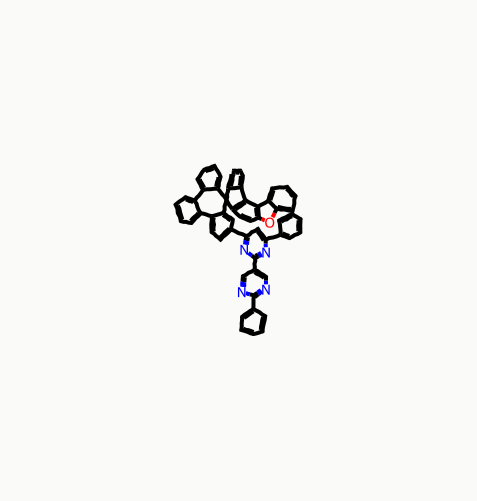 c1ccc(-c2cc(-c3ccc4c(c3)C3(c5ccccc5-c5ccccc5-4)c4ccccc4-c4c3ccc3oc5ccccc5c43)nc(-c3cnc(-c4ccccc4)nc3)n2)cc1